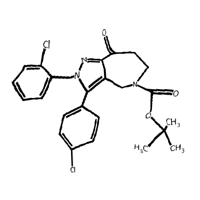 CC(C)(C)OC(=O)N1CCC(=O)c2nn(-c3ccccc3Cl)c(-c3ccc(Cl)cc3)c2C1